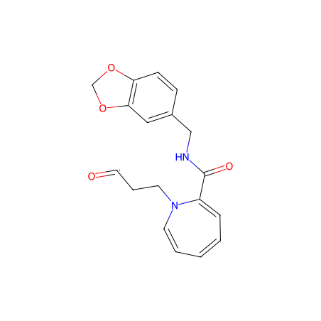 O=[C]CCN1C=CC=CC=C1C(=O)NCc1ccc2c(c1)OCO2